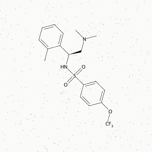 Cc1ccccc1[C@@H](CN(C)C)NS(=O)(=O)c1ccc(OC(F)(F)F)cc1